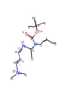 CCCN(C(=O)OC(C)(C)C)C(C)/N=C\N=C\N(C)C